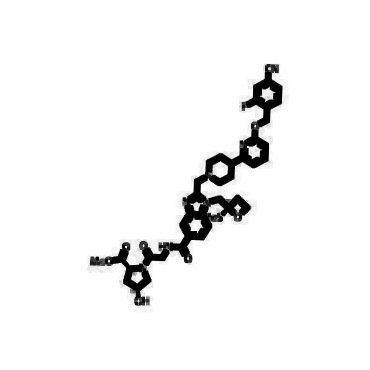 COC(=O)[C@@H]1C[C@H](O)CN1C(=O)CNC(=O)c1ccc2c(c1)nc(CN1CCC(c3cccc(OCc4ccc(C#N)cc4F)n3)CC1)n2C[C@]1(SC)CCO1